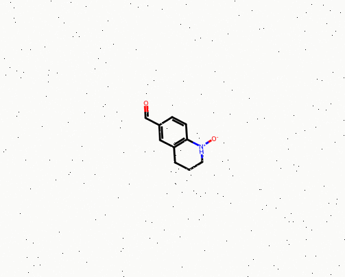 O=Cc1ccc2c(c1)CCC[NH+]2[O-]